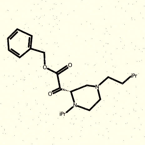 CC(C)CCN1CCN(C(C)C)[C@H](C(=O)C(=O)OCc2ccccc2)C1